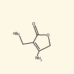 CCCCCC1=C(N)COC1=O